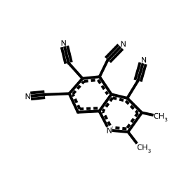 Cc1nc2cc(C#N)c(C#N)c(C#N)c2c(C#N)c1C